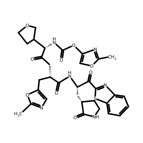 Cc1nc(OC(=O)N[C@H](C(=O)C[C@@H](Cc2cnc(C)o2)C(=O)N[C@@H](C[C@@H]2CCNC2=O)C(=O)c2nc3ccccc3s2)C2CCOC2)co1